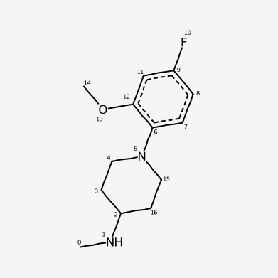 CNC1CCN(c2ccc(F)cc2OC)CC1